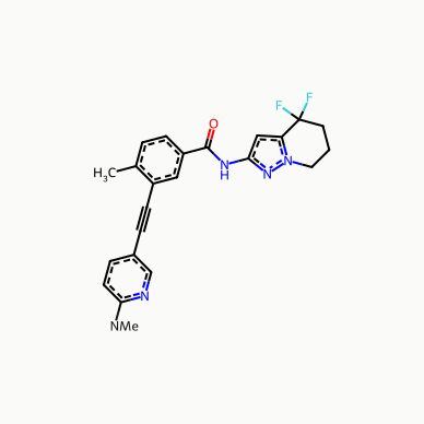 CNc1ccc(C#Cc2cc(C(=O)Nc3cc4n(n3)CCCC4(F)F)ccc2C)cn1